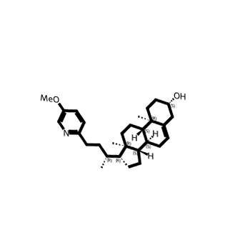 COc1ccc(CC[C@@H](C)[C@H]2CC[C@H]3[C@@H]4CC=C5C[C@@H](O)CC[C@]5(C)[C@H]4CC[C@]23C)nc1